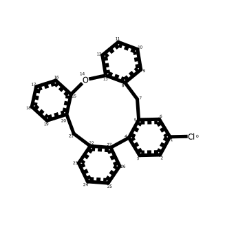 Clc1ccc2c(c1)Cc1ccccc1Oc1ccccc1Cc1ccccc1-2